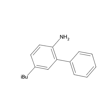 CCC(C)c1ccc(N)c(-c2ccccc2)c1